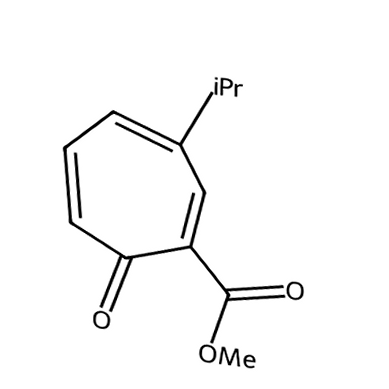 COC(=O)c1cc(C(C)C)cccc1=O